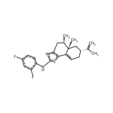 C=C(C)[C@@H]1CC=C2c3sc(Nc4ccc(F)cc4F)nc3C[C@@H](C)[C@]2(C)C1